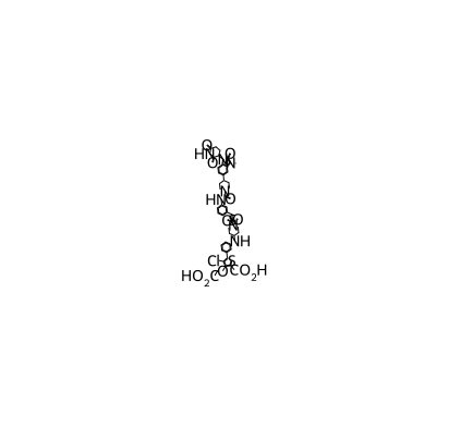 Cn1c(=O)n(C2CCC(=O)NC2=O)c2ccc(C3CCN(C(=O)Nc4cccc(CS(=O)(=O)N5CCC(Nc6cccc(-c7sc(C(=O)O)c(OCC(=O)O)c7Cl)c6)CC5)c4)CC3)cc21